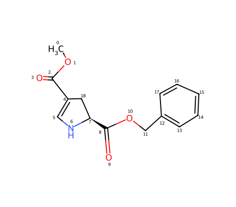 COC(=O)C1=CN[C@H](C(=O)OCc2ccccc2)C1